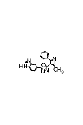 Cc1onc(-c2ccccc2)c1-c1nnc(-c2ccc3[nH]cnc3c2)o1